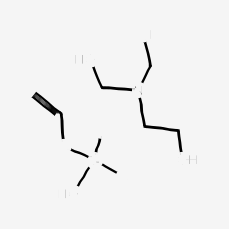 C=CO[Si](O)(O)O.OCCN(CO)CO